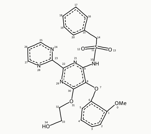 COc1ccccc1Oc1c(NS(=O)(=O)Cc2ccccc2)nc(-c2ncccn2)nc1OCCO